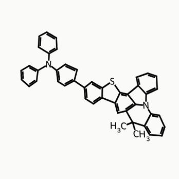 CC1(C)c2ccccc2-n2c3ccccc3c3c4sc5cc(-c6ccc(N(c7ccccc7)c7ccccc7)cc6)ccc5c4cc1c32